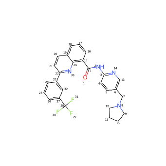 O=C(Nc1ccc(CN2CCCC2)cn1)c1cccc2ccc(-c3cccc(C(F)(F)F)c3)nc12